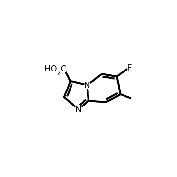 Cc1cc2ncc(C(=O)O)n2cc1F